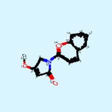 CCOC1=CC(=O)N(C2C=Cc3ccccc3O2)C1